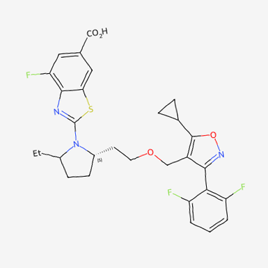 CCC1CC[C@@H](CCOCc2c(-c3c(F)cccc3F)noc2C2CC2)N1c1nc2c(F)cc(C(=O)O)cc2s1